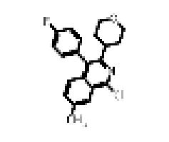 Cc1ccc2c(-c3ccc(F)cc3)c(C3CCOCC3)nc(Cl)c2c1